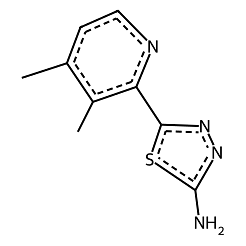 Cc1ccnc(-c2nnc(N)s2)c1C